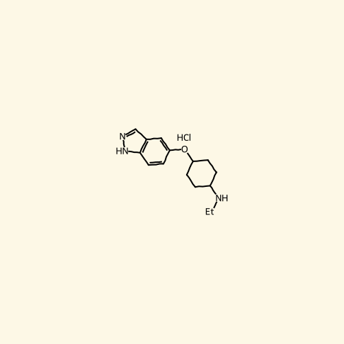 CCNC1CCC(Oc2ccc3[nH]ncc3c2)CC1.Cl